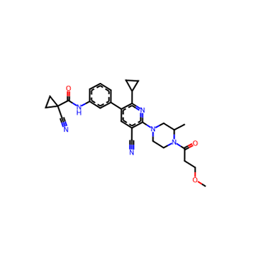 COCCC(=O)N1CCN(c2nc(C3CC3)c(-c3cccc(NC(=O)C4(C#N)CC4)c3)cc2C#N)CC1C